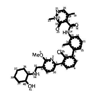 COc1nc(-c2cccc(-c3cccc(NC(=O)c4c(C)cnn(C)c4=O)c3C)c2Cl)ccc1CNC1CCCCC1O